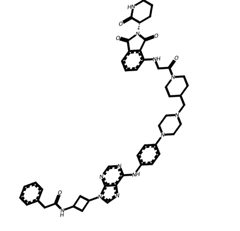 O=C1CC[C@H](N2C(=O)c3cccc(NCC(=O)N4CCC(CN5CCN(c6ccc(Nc7ncnc8c7ncn8C7CC(NC(=O)Cc8ccccc8)C7)cc6)CC5)CC4)c3C2=O)C(=O)N1